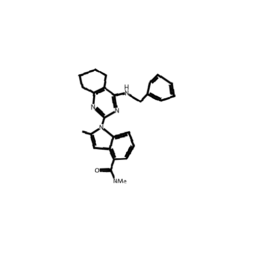 CNC(=O)c1cccc2c1cc(C)n2-c1nc2c(c(NCc3ccccc3)n1)CCCC2